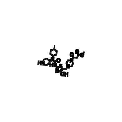 COC(=O)CC(=O)N1CCN(Cc2cnc(NC(=O)N(C3CCNCC3)C3CCC(C)CC3)s2)CC1.Cl